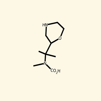 CN(C(=O)O)C(C)(C)C1CNCCO1